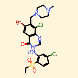 CCS(=O)(=O)c1ccc(Cl)cc1Nn1cnc2c(Cl)c(CN3CCN(C)CC3)c(Br)cc2c1=O